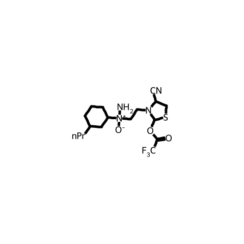 CCCC1CCCC([N+](N)([O-])CCN2C(C#N)CSC2OC(=O)C(F)(F)F)C1